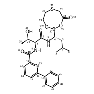 CC(C)C[C@H](NC(=O)[C@@H](NC(=O)c1cccc(-c2ccccc2)n1)[C@@H](C)O)B1OCCSCC(=O)O1